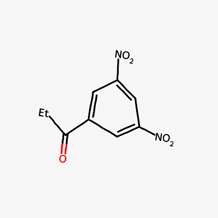 CCC(=O)c1cc([N+](=O)[O-])cc([N+](=O)[O-])c1